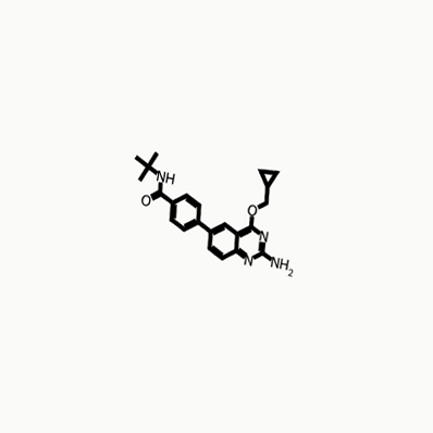 CC(C)(C)NC(=O)c1ccc(-c2ccc3nc(N)nc(OCC4CC4)c3c2)cc1